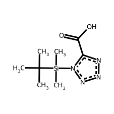 CC(C)(C)[Si](C)(C)n1nnnc1C(=O)O